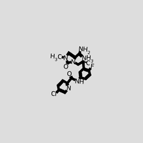 Cn1cc2n(c1=O)C[C@@](C)(c1cc(NC(=O)c3ccc(Cl)cn3)ccc1F)N=C2N